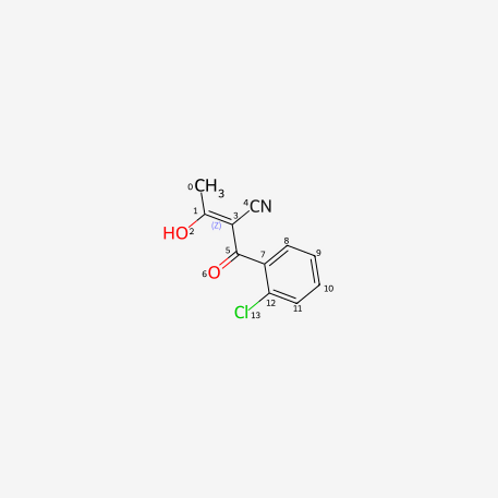 C/C(O)=C(\C#N)C(=O)c1ccccc1Cl